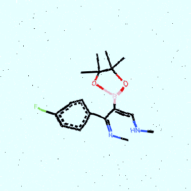 C/N=C(\C(=C/NC)B1OC(C)(C)C(C)(C)O1)c1ccc(F)cc1